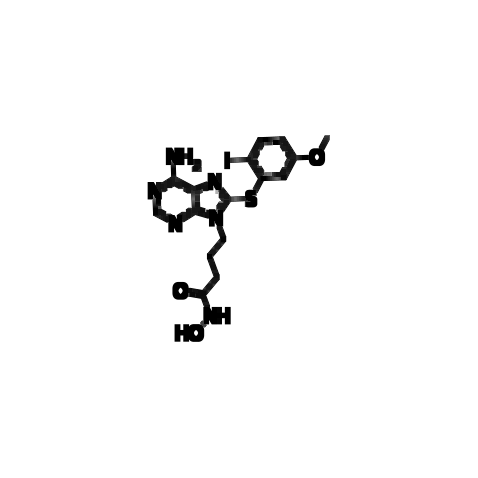 COc1ccc(I)c(Sc2nc3c(N)ncnc3n2CCCC(=O)NO)c1